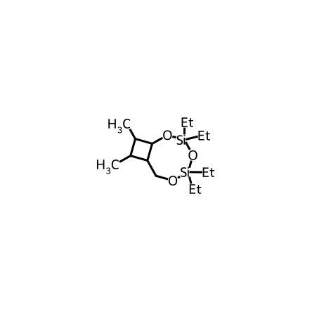 CC[Si]1(CC)OCC2C(C)C(C)C2O[Si](CC)(CC)O1